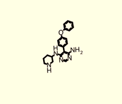 Nc1ncnc(NC2CCCNC2)c1-c1ccc(Oc2ccccc2)cc1